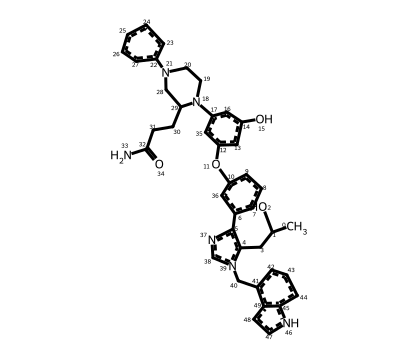 CC(O)Cc1c(-c2cccc(Oc3cc(O)cc(N4CCN(c5ccccc5)CC4CCC(N)=O)c3)c2)ncn1Cc1cccc2[nH]ccc12